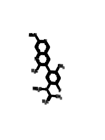 C=C(C)N(C(=O)O)c1cc(-c2cc3cnc(NC)cc3nc2C)c(C)cc1F